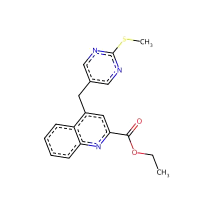 CCOC(=O)c1cc(Cc2cnc(SC)nc2)c2ccccc2n1